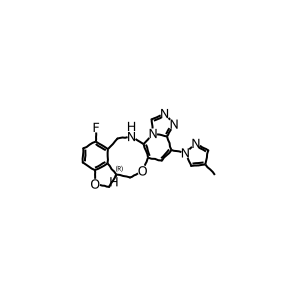 Cc1cnn(-c2cc3c(n4cnnc24)NCc2c(F)ccc4c2[C@H](CO4)CO3)c1